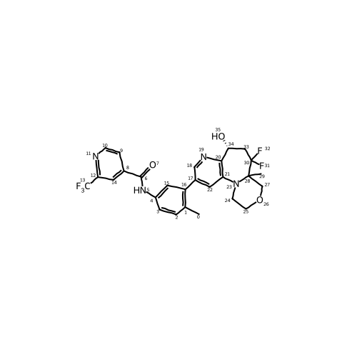 Cc1ccc(NC(=O)c2ccnc(C(F)(F)F)c2)cc1-c1cnc2c(c1)N1CCOCC1(C)C(F)(F)C[C@H]2O